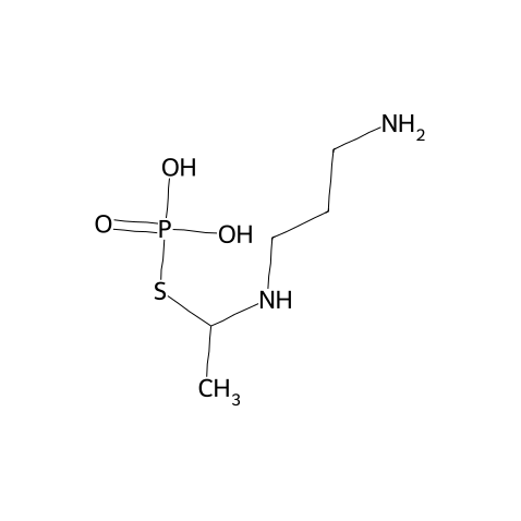 CC(NCCCN)SP(=O)(O)O